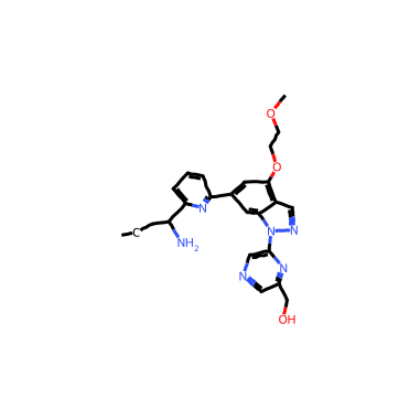 CCCC(N)c1cccc(-c2cc(OCCOC)c3cnn(-c4cncc(CO)n4)c3c2)n1